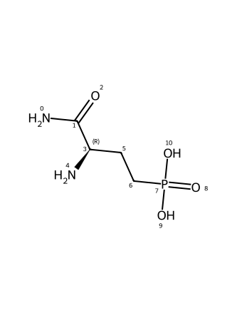 NC(=O)[C@H](N)CCP(=O)(O)O